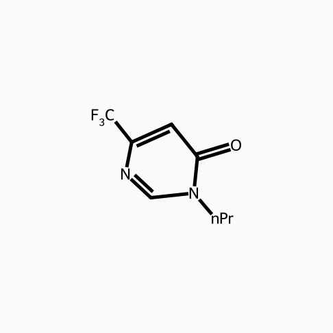 CCCn1cnc(C(F)(F)F)cc1=O